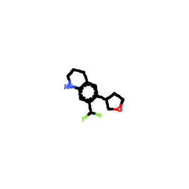 FC(F)c1cc2c(cc1C1CCOC1)CCCN2